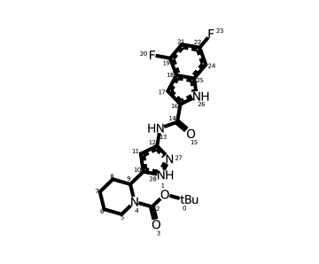 CC(C)(C)OC(=O)N1CCCCC1c1cc(NC(=O)c2cc3c(F)cc(F)cc3[nH]2)n[nH]1